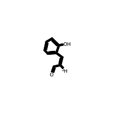 [2H]C(C=O)=Cc1ccccc1O